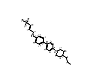 CCCC1CCN(c2ccc(-c3ccc(OCC=CC(F)(F)F)cc3)cc2)CC1